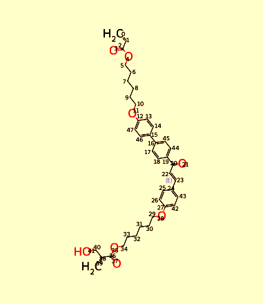 C=CC(=O)OCCCCCCOc1ccc(-c2ccc(C(=O)/C=C/c3ccc(OCCCCCCOC(=O)C(=C)CO)cc3)cc2)cc1